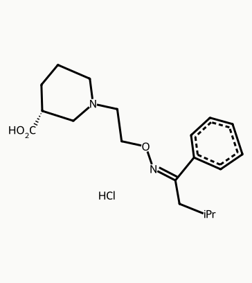 CC(C)CC(=NOCCN1CCC[C@@H](C(=O)O)C1)c1ccccc1.Cl